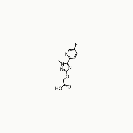 Cn1nc(OCC(=O)O)nc1-c1ccc(F)cn1